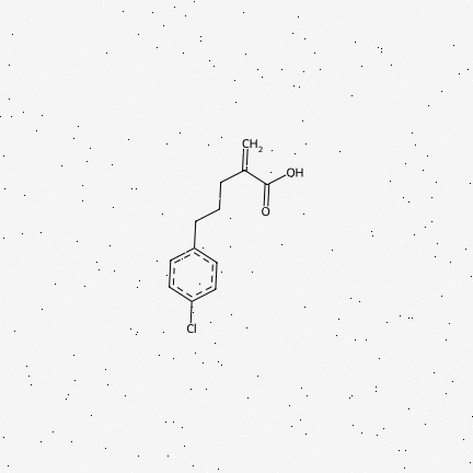 C=C(CCCc1ccc(Cl)cc1)C(=O)O